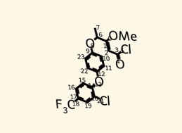 COC(=CC(=O)Cl)C(C)Oc1ccc(Oc2ccc(C(F)(F)F)cc2Cl)cc1